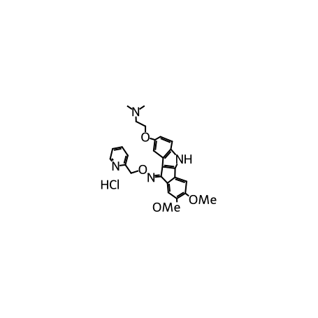 COc1cc2c(cc1OC)-c1[nH]c3ccc(OCCN(C)C)cc3c1C2=NOCc1ccccn1.Cl